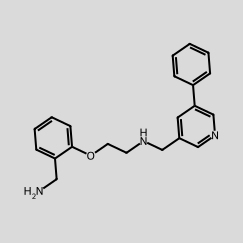 NCc1ccccc1OCCNCc1cncc(-c2ccccc2)c1